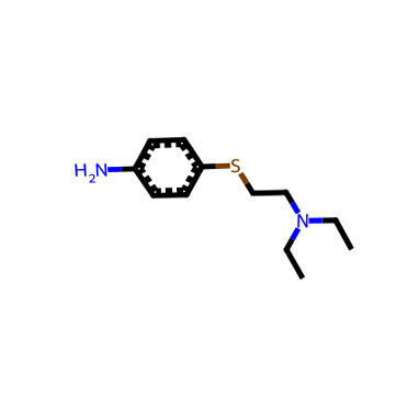 CCN(CC)CCSc1ccc(N)cc1